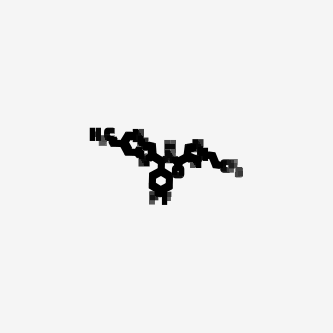 C=Cc1cnn2cc([C@@H](NC(=O)c3cnn(CCC(F)(F)F)n3)C3CCC(F)(F)CC3)nc2c1